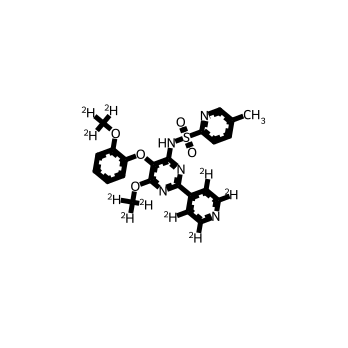 [2H]c1nc([2H])c([2H])c(-c2nc(NS(=O)(=O)c3ccc(C)cn3)c(Oc3ccccc3OC([2H])([2H])[2H])c(OC([2H])([2H])[2H])n2)c1[2H]